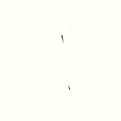 NC(=O)[C@]12CC3C[C@H](C1)C1(OCCO1)[C@@H](C3)C2